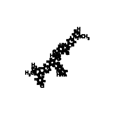 CC1CN(C2CCC(CNc3ccc(S(=O)(=O)NC(=O)c4ccc(N5CCN(CC6=C(c7ccc(Cl)cc7)CC(C)(C)CC6)CC5)cc4Oc4cnc5[nH]ccc5c4)cc3[N+](=O)[O-])CC2)CCN1